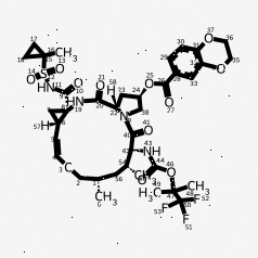 C[C@@H]1CCC=C[C@@H]2C[C@@]2(C(=O)NS(=O)(=O)C2(C)CC2)NC(=O)[C@@H]2C[C@@H](OC(=O)c3ccc4c(c3)OCCO4)CN2C(=O)[C@@H](NC(=O)OC(C)(C)C(F)(F)F)[C@H](C)C1